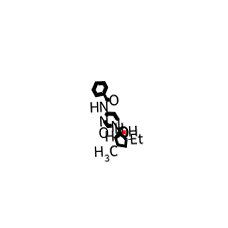 CC[C@@]12C[C@H](C)[C@@H]([C@H](n3ccc(NC(=O)c4ccccc4)nc3=O)O1)[C@@H]2O